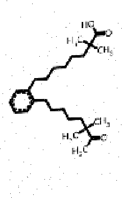 CC(=O)C(C)(C)CCCCCc1ccccc1CCCCCCC(C)(C)C(=O)O